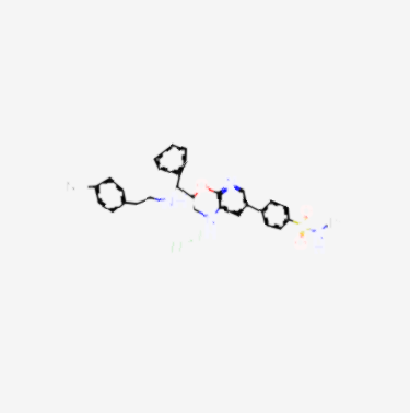 CC(C)NS(=O)(=O)c1ccc(-c2cnc3c(c2)NC[C@@H]([C@H](NCCc2ccc(C#N)cc2)c2ccccc2)O3)cc1.Cl.Cl